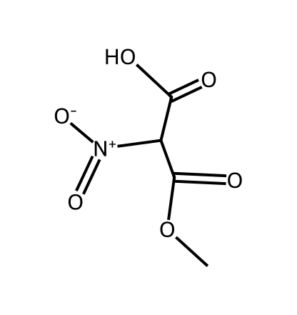 COC(=O)C(C(=O)O)[N+](=O)[O-]